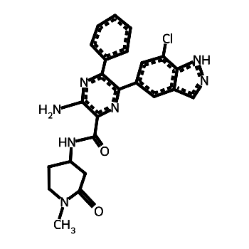 CN1CCC(NC(=O)c2nc(-c3cc(Cl)c4[nH]ncc4c3)c(-c3ccccc3)nc2N)CC1=O